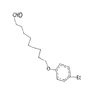 CCc1ccc(OCCCCCCCCC=O)cc1